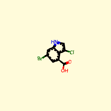 O=C(O)c1cc(Br)cc2[nH]cc(Cl)c12